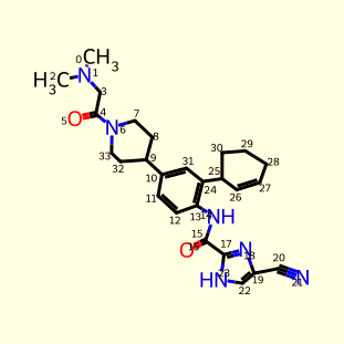 CN(C)CC(=O)N1CCC(c2ccc(NC(=O)c3nc(C#N)c[nH]3)c(C3C=CCCC3)c2)CC1